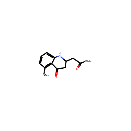 COC(=O)CC1CC(=O)c2c(cccc2OC)N1